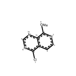 COc1nccc2c(Cl)ncnc12